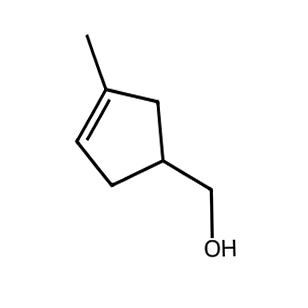 CC1=CCC(CO)C1